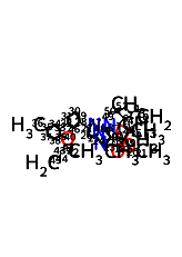 C=CCCC1(C)CCN(c2c([C@H](OC(C)(C)C)C(=O)OCC)c(C)nc3cc(-c4cccc(-c5cc(C)ccc5O[C@@H](C)CC=C)c4)nn23)CC1